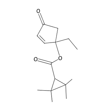 CCC1(OC(=O)C2C(C)(C)C2(C)C)C=CC(=O)C1